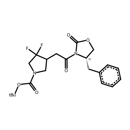 CC(C)(C)OC(=O)N1CC(CC(=O)N2C(=O)OC[C@@H]2Cc2ccccc2)C(F)(F)C1